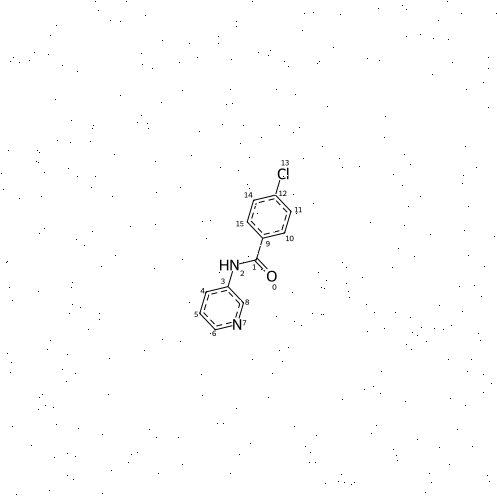 O=C(Nc1cccnc1)c1ccc(Cl)cc1